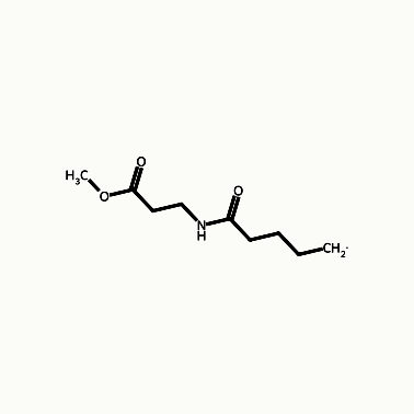 [CH2]CCCC(=O)NCCC(=O)OC